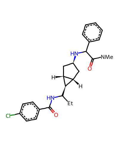 CCC(NC(=O)c1ccc(Cl)cc1)[C@H]1[C@@H]2C[C@@H](NC(C(=O)NC)c3ccccc3)C[C@@H]21